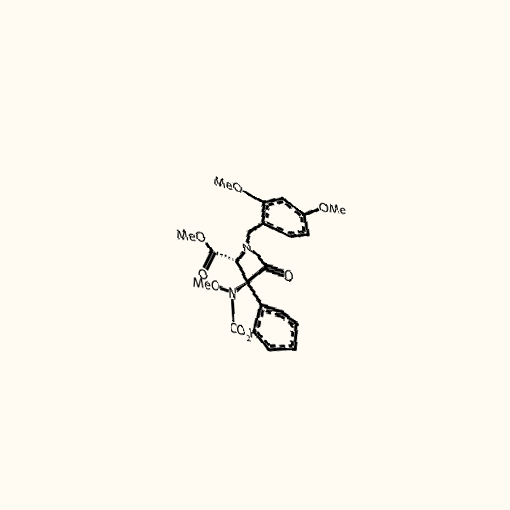 COC(=O)[C@@H]1N(Cc2ccc(OC)cc2OC)C(=O)[C@@]1(c1ccccc1)N(OC)C(=O)O